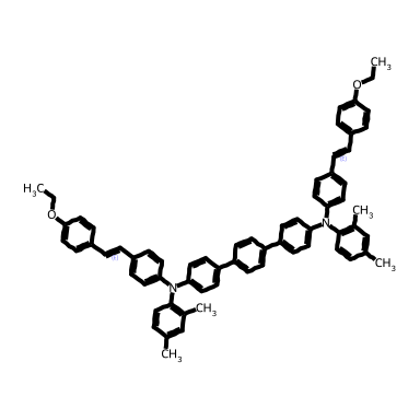 CCOc1ccc(/C=C/c2ccc(N(c3ccc(-c4ccc(-c5ccc(N(c6ccc(/C=C/c7ccc(OCC)cc7)cc6)c6ccc(C)cc6C)cc5)cc4)cc3)c3ccc(C)cc3C)cc2)cc1